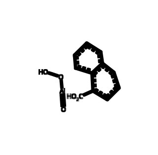 O=C(O)c1cccc2ccccc12.[O]=[Al][O]O